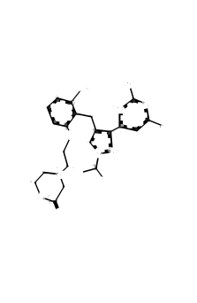 Nc1nc(Cl)cc(-c2nn(C(F)F)cc2Cc2c(F)cccc2OCCN2CCNC(=O)C2)n1